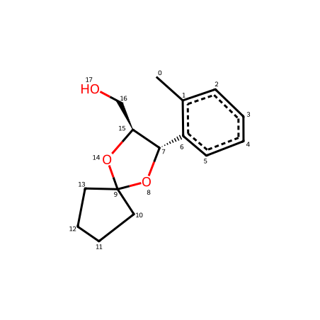 Cc1ccccc1[C@@H]1OC2(CCCC2)O[C@H]1CO